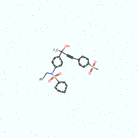 CC(C)CN(c1ccc(C(O)(C#Cc2ccc(S(C)(=O)=O)cc2)C(F)(F)F)cc1)S(=O)(=O)c1ccccc1